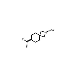 CCCCN1CC2(CCC(=C(F)F)CC2)C1